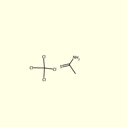 CC(N)=S.ClC(Cl)(Cl)Cl